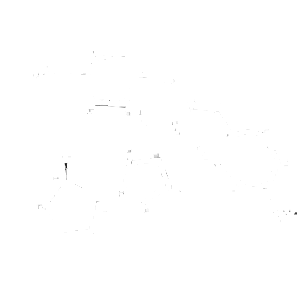 COc1ccc(CN(Cc2ccc(OC)cc2)S(=O)(=O)c2ccn(C3COC[C@H]3O)n2)cc1